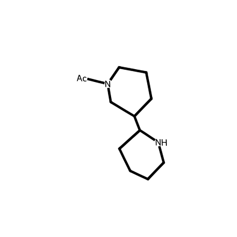 CC(=O)N1CCCC(C2CCCCN2)C1